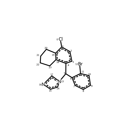 Clc1ccc(C(c2ccccc2Br)n2ccnc2)c2c1CCCC2